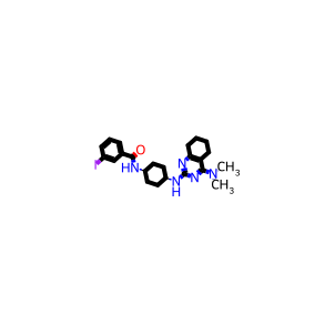 CN(C)c1nc(N[C@H]2CC[C@@H](NC(=O)c3cccc(I)c3)CC2)nc2c1CCCC2